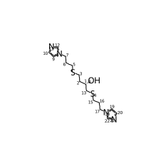 O[C@@H](CCSCCCn1ccnc1)CSCCCn1ccnc1